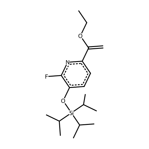 C=C(OCC)c1ccc(O[Si](C(C)C)(C(C)C)C(C)C)c(F)n1